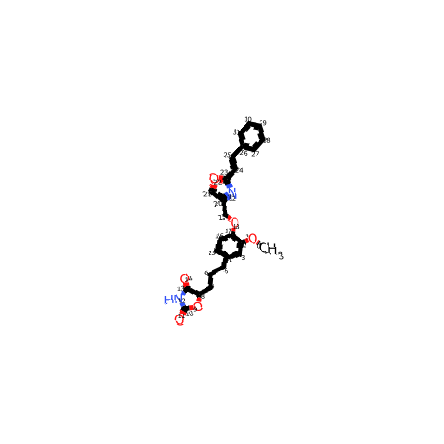 COc1cc(CCCC2OC(=O)NC2=O)ccc1OCc1coc(/C=C/c2ccccc2)n1